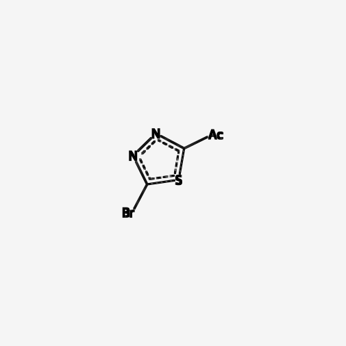 CC(=O)c1nnc(Br)s1